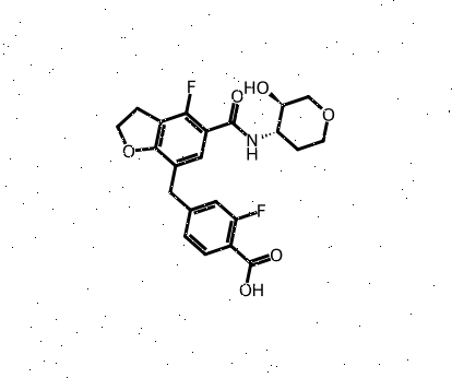 O=C(O)c1ccc(Cc2cc(C(=O)N[C@H]3CCOC[C@@H]3O)c(F)c3c2OCC3)cc1F